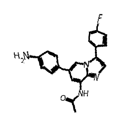 CC(=O)Nc1cc(-c2ccc(N)cc2)cn2c(-c3ccc(F)cc3)cnc12